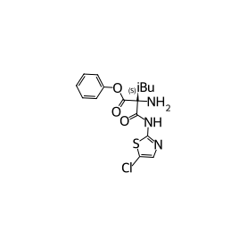 CC[C@H](C)C(N)(C(=O)Nc1ncc(Cl)s1)C(=O)Oc1ccccc1